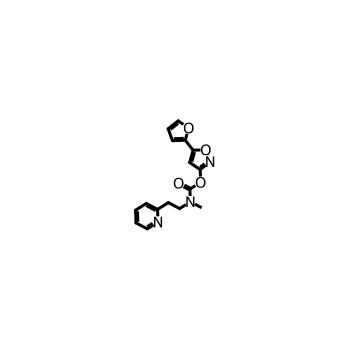 CN(CCc1ccccn1)C(=O)Oc1cc(-c2ccco2)on1